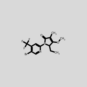 CCC1C(OC)=C(C)C(=O)N1c1cc(C(F)(F)F)c(Br)cn1